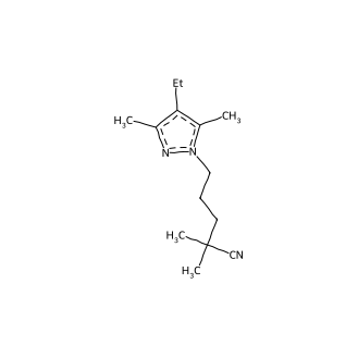 CCc1c(C)nn(CCCC(C)(C)C#N)c1C